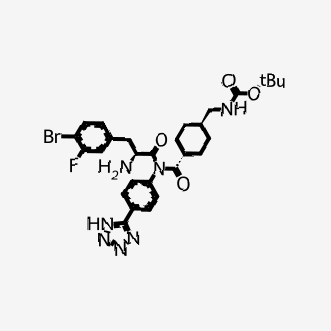 CC(C)(C)OC(=O)NC[C@H]1CC[C@H](C(=O)N(C(=O)[C@@H](N)Cc2ccc(Br)c(F)c2)c2ccc(-c3nnn[nH]3)cc2)CC1